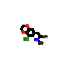 CCCNC(CCC)Cc1ccc2c(c1)OCCO2.Cl